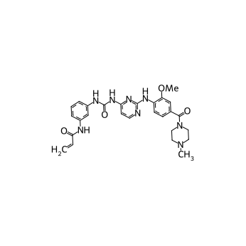 C=CC(=O)Nc1cccc(NC(=O)Nc2ccnc(Nc3ccc(C(=O)N4CCN(C)CC4)cc3OC)n2)c1